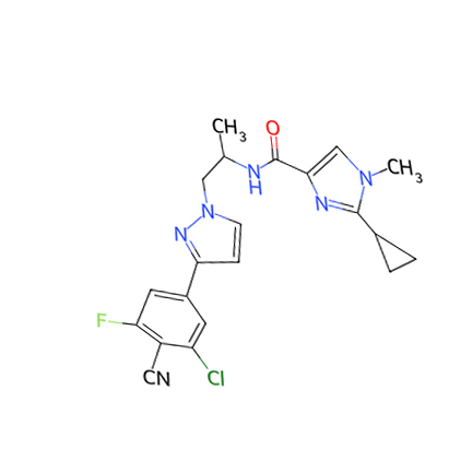 CC(Cn1ccc(-c2cc(F)c(C#N)c(Cl)c2)n1)NC(=O)c1cn(C)c(C2CC2)n1